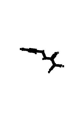 O=C(OCC#CF)C(F)F